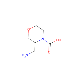 NC[C@@H]1COCCN1C(=O)O